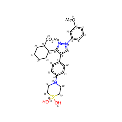 COc1cccc(-n2cc(-c3ccc(N4CCS(O)(O)CC4)cc3)c(C3CCCCC3C(=O)O)n2)c1